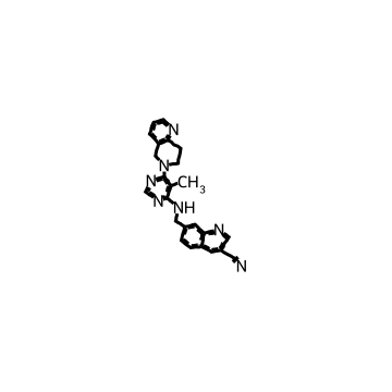 Cc1c(NCc2ccc3cc(C#N)cnc3c2)ncnc1N1CCc2ncccc2C1